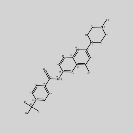 Cc1cc(N2CCN(C)CC2)nc2ccc(NC(=O)c3ccc(C(C)(C)C)cc3)cc12